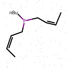 C/C=C\CP(C/C=C\C)CCCC